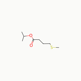 CSCCCC(=O)OC(C)C